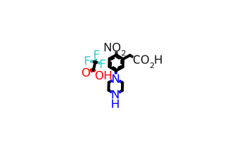 O=C(O)C(F)(F)F.O=C(O)Cc1cc(N2CCNCC2)ccc1[N+](=O)[O-]